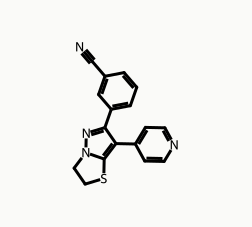 N#Cc1cccc(-c2nn3c(c2-c2ccncc2)SCC3)c1